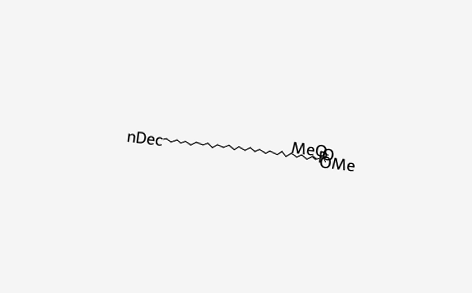 CCCCCCCCCCCCCCCCCCCCCCCCCCCCCCCCCCCCCC/C=C/P(=O)(OC)OC